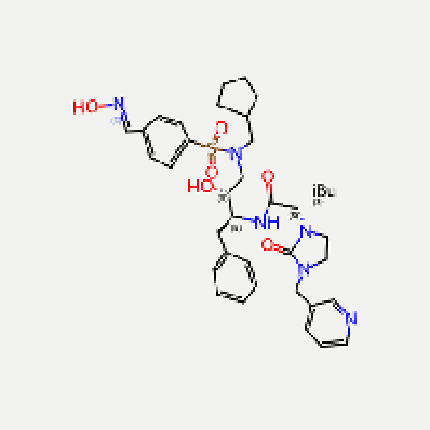 CC[C@H](C)[C@@H](C(=O)N[C@@H](Cc1ccccc1)[C@H](O)CN(CC1CCCC1)S(=O)(=O)c1ccc(/C=N/O)cc1)N1CCN(Cc2cccnc2)C1=O